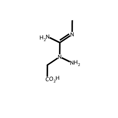 C/N=C(\N)N(N)CC(=O)O